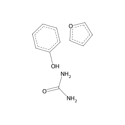 NC(N)=O.Oc1ccccc1.c1ccoc1